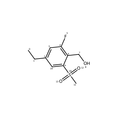 CCc1cc(F)c(CO)c(S(C)(=O)=O)c1